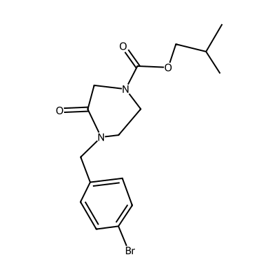 CC(C)COC(=O)N1CCN(Cc2ccc(Br)cc2)C(=O)C1